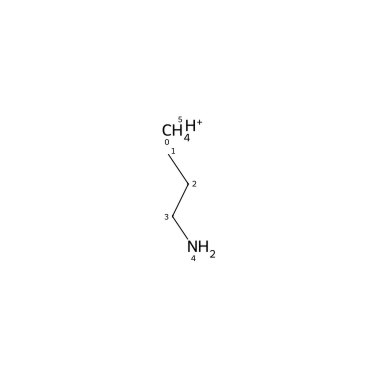 C.CCCN.[H+]